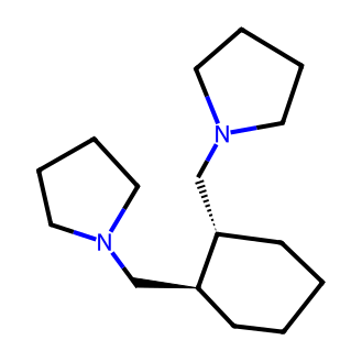 C1CC[C@@H](CN2CCCC2)[C@H](CN2CCCC2)C1